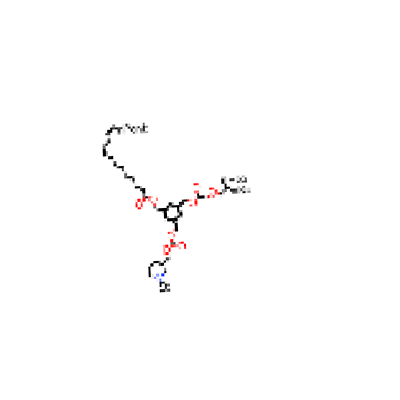 CCCCC/C=C\C/C=C\CCCCCCCC(=O)OCc1cc(COC(=O)COCC(CCCC)CCCCCC)cc(COC(=O)OCC2CCCN(CC)C2)c1